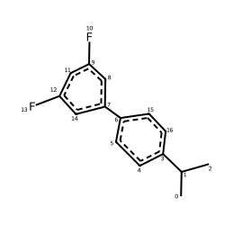 CC(C)c1ccc(-c2cc(F)cc(F)c2)cc1